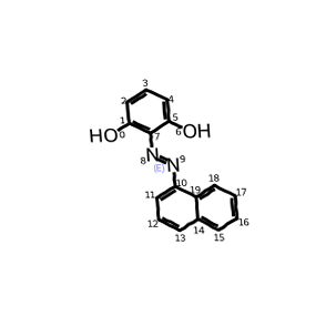 Oc1cccc(O)c1/N=N/c1cccc2ccccc12